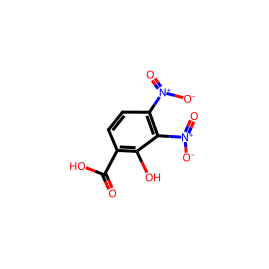 O=C(O)c1ccc([N+](=O)[O-])c([N+](=O)[O-])c1O